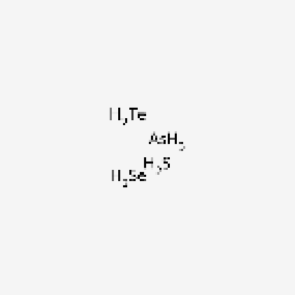 S.[AsH3].[SeH2].[TeH2]